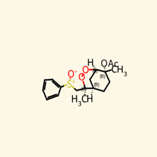 CC(=O)O[C@]1(C)CC[C@@H]2C[C@H]1OO[C@]2(C)C[S+]([O-])c1ccccc1